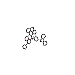 c1ccc(-c2ccc(N(c3ccccc3-c3ccccc3)c3ccc(-c4cc5ccccc5c5ccccc45)cc3-c3ccc4ccc5ccccc5c4c3)cc2)cc1